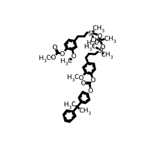 COC(=O)Oc1ccc(CCC[Si](C)(C)O[Si](C)(C)O[Si](C)(C)CCCc2ccc(OC(=O)Oc3ccc(C(C)(C)c4ccccc4)cc3)c(OC)c2)cc1OC